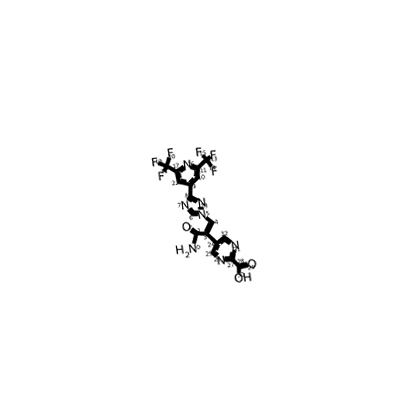 NC(=O)C(=Cn1cnc(-c2cc(C(F)(F)F)nc(C(F)(F)F)c2)n1)c1cnc(C(=O)O)nc1